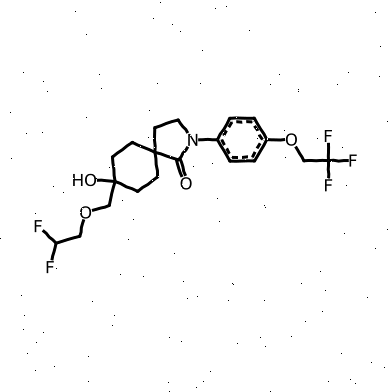 O=C1N(c2ccc(OCC(F)(F)F)cc2)CCC12CCC(O)(COCC(F)F)CC2